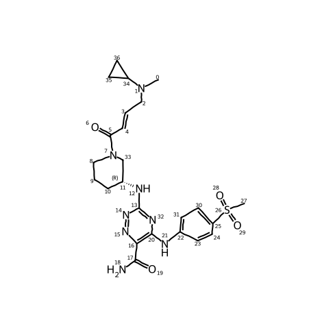 CN(CC=CC(=O)N1CCC[C@@H](Nc2nnc(C(N)=O)c(Nc3ccc(S(C)(=O)=O)cc3)n2)C1)C1CC1